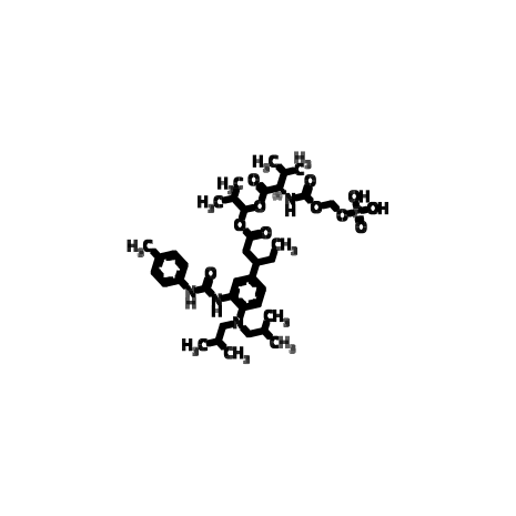 CCC(CC(=O)OC(OC(=O)[C@@H](NC(=O)OCOP(=O)(O)O)C(C)C)C(C)C)c1ccc(N(CC(C)C)CC(C)C)c(NC(=O)Nc2ccc(C)cc2)c1